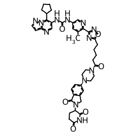 Cc1cc(NC(=O)Nc2cnc3ccnn3c2C2CCCC2)cnc1-c1noc(CCCCC(=O)N2CCN(c3ccc4c(c3)CN(C3CCC(=O)NC3=O)C4=O)CC2)n1